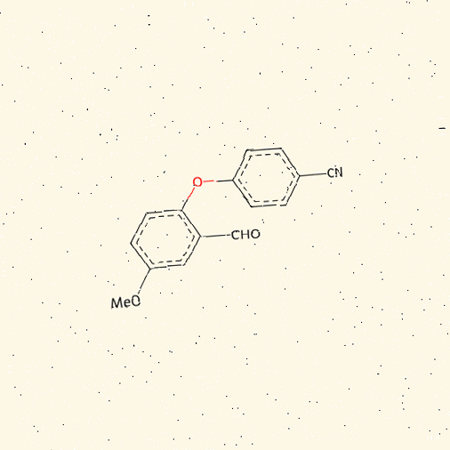 COc1ccc(Oc2ccc(C#N)cc2)c(C=O)c1